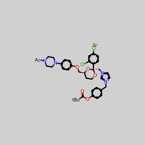 CC(=O)N1CCN(c2ccc(OC[C@@H]3CCO[C@](Cn4cc[n+](Cc5ccc(OC(=O)C(C)(C)C)cc5)c4)(c4ccc(Cl)cc4Cl)O3)cc2)CC1.[Br-]